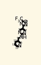 FC(F)(F)c1nc(-c2cnc(NCc3cccnc3)nc2)no1